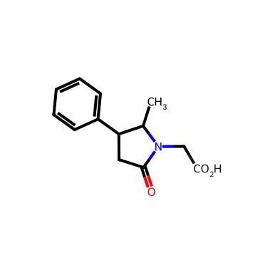 CC1C(c2ccccc2)CC(=O)N1CC(=O)O